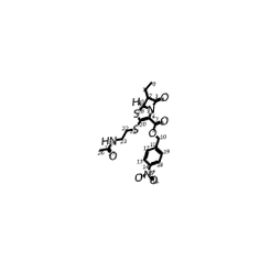 CCC1C(=O)N2C(C(=O)OCc3ccc([N+](=O)[O-])cc3)=C(SCCNC(C)=O)S[C@@H]12